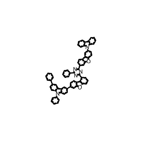 c1ccc(-c2ccc3c(c2)c2cc(-c4ccc5c(c4)oc4cccc(-c6nc(-c7ccccc7)nc(-c7ccc8c(c7)oc7ccc(-n9c%10ccccc%10c%10ccccc%109)cc78)n6)c45)ccc2n3-c2ccccc2)cc1